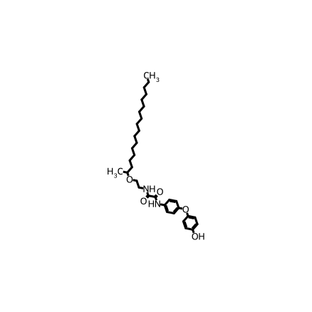 CCCCCCCCCCCCCCCCC(C)OCCNC(=O)C(=O)Nc1ccc(Oc2ccc(O)cc2)cc1